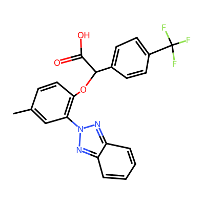 Cc1ccc(OC(C(=O)O)c2ccc(C(F)(F)F)cc2)c(-n2nc3ccccc3n2)c1